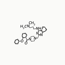 CN(C)CCCNc1nc(CN2CCN(C(=O)c3ccccc3Oc3ccccc3)CC2)nc2ccccc12